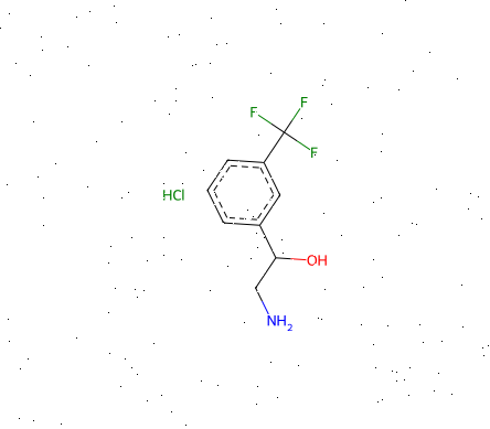 Cl.NCC(O)c1cccc(C(F)(F)F)c1